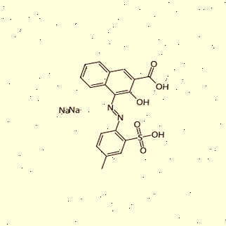 Cc1ccc(N=Nc2c(O)c(C(=O)O)cc3ccccc23)c(S(=O)(=O)O)c1.[Na].[Na]